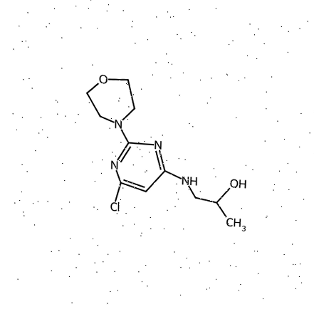 CC(O)CNc1cc(Cl)nc(N2CCOCC2)n1